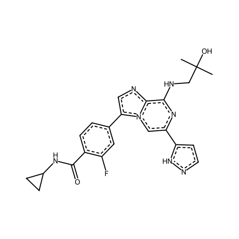 CC(C)(O)CNc1nc(-c2ccn[nH]2)cn2c(-c3ccc(C(=O)NC4CC4)c(F)c3)cnc12